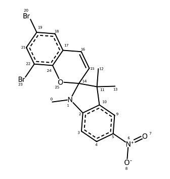 CN1c2ccc([N+](=O)[O-])cc2C(C)(C)C12C=Cc1cc(Br)cc(Br)c1O2